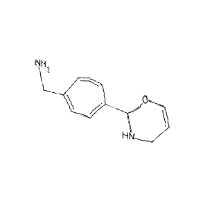 NCc1ccc(C2NCC=CO2)cc1